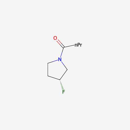 CCCC(=O)N1CC[C@@H](F)C1